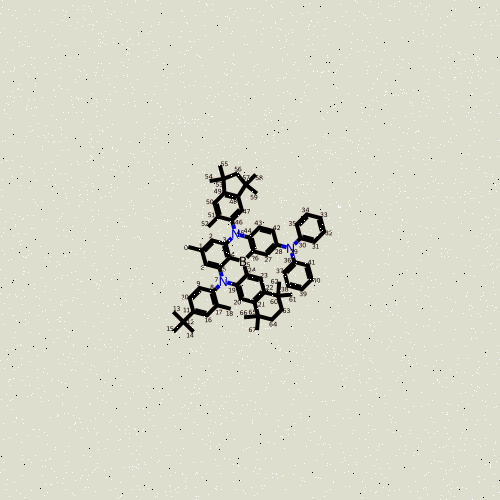 Cc1cc2c3c(c1)N(c1ccc(C(C)(C)C)cc1C)c1cc4c(cc1B3c1cc(N(c3ccccc3)c3ccccc3)ccc1N2c1cc2c(cc1C)C(C)(C)CC2(C)C)C(C)(C)CCC4(C)C